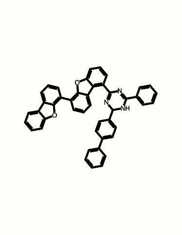 c1ccc(C2=NC(c3cccc4oc5c(-c6cccc7c6oc6ccccc67)cccc5c34)=NC(c3ccc(-c4ccccc4)cc3)N2)cc1